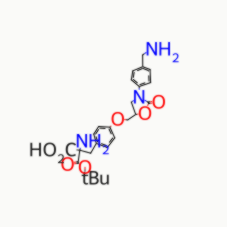 CC(C)(C)OC(=O)C(N)(Cc1ccc(OCC2CN(c3ccc(CN)cc3)C(=O)O2)cc1)C(=O)O